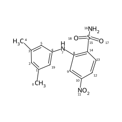 Cc1cc(C)cc(Nc2cc([N+](=O)[O-])ccc2S(N)(=O)=O)c1